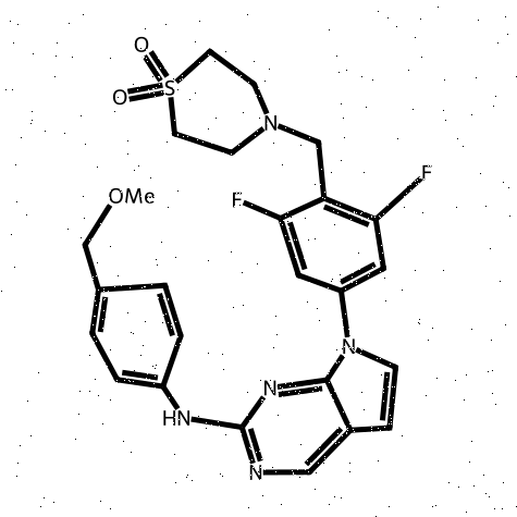 COCc1ccc(Nc2ncc3ccn(-c4cc(F)c(CN5CCS(=O)(=O)CC5)c(F)c4)c3n2)cc1